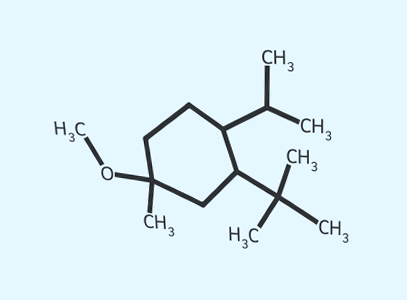 COC1(C)CCC(C(C)C)C(C(C)(C)C)C1